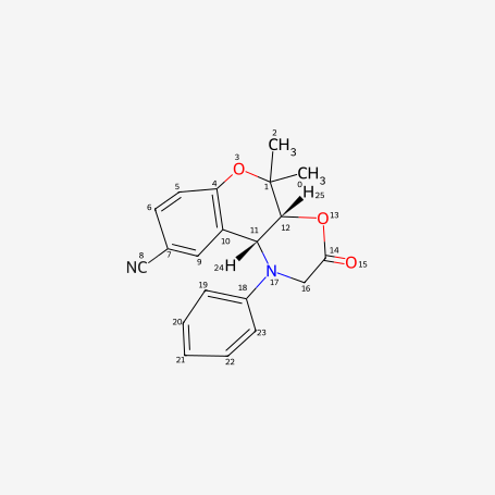 CC1(C)Oc2ccc(C#N)cc2[C@@H]2[C@H]1OC(=O)CN2c1ccccc1